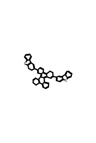 C1=Cc2c(c3ccccc3c3c4c(c5ccc(C6=Cc7c(sc8ccccc78)CC6)cc5c23)CCC(c2ccc3sc5ccccc5c3c2)=C4)CC1